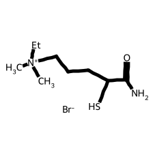 CC[N+](C)(C)CCCC(S)C(N)=O.[Br-]